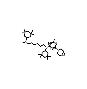 Cc1nc(N2CCOCC2)nc(N(CCCCCCN(C)C2CC(C)(C)CC(C)(C)C2)C2CC(C)(C)CC(C)(C)C2)n1